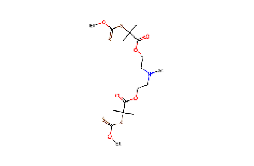 CCOC(=S)SC(C)(C)C(=O)OCCN(CCOC(=O)C(C)(C)SC(=S)OCC)C(C)=O